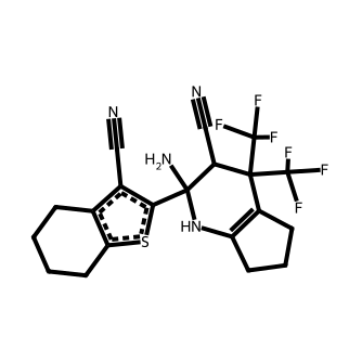 N#Cc1c(C2(N)NC3=C(CCC3)C(C(F)(F)F)(C(F)(F)F)C2C#N)sc2c1CCCC2